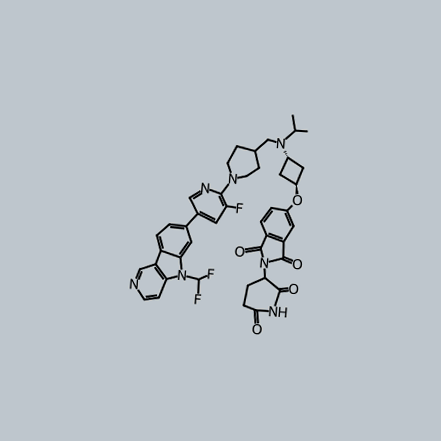 CC(C)N(CC1CCN(c2ncc(-c3ccc4c5cnccc5n(C(F)F)c4c3)cc2F)CC1)[C@H]1C[C@H](Oc2ccc3c(c2)C(=O)N(C2CCC(=O)NC2=O)C3=O)C1